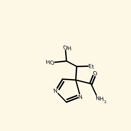 CCC(C(O)O)C1(C(N)=O)C=NC=N1